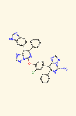 Nc1nc(-c2ccccc2)c(-c2ccc(Oc3nc(-c4ccccc4)c(-c4ccc5nc[nH]c5c4)c4ncnn34)c(Cl)c2)c2ncnn12